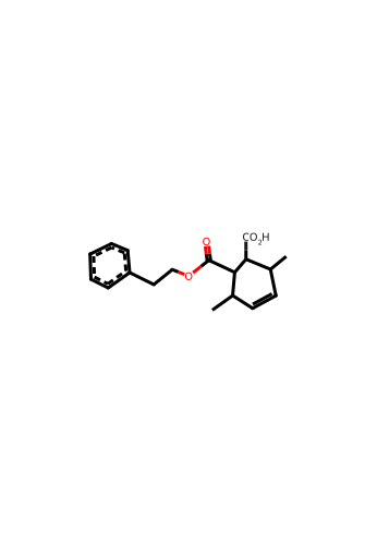 CC1C=CC(C)C(C(=O)OCCc2ccccc2)C1C(=O)O